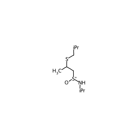 CC(C)CSC(C)C[S+]([O-])NC(C)C